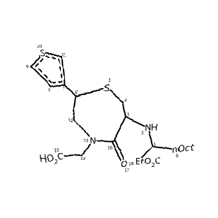 CCCCCCCCC(NC1CSC(c2ccsc2)CN(CC(=O)O)C1=O)C(=O)OCC